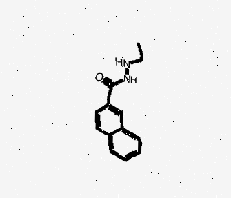 CCNNC(=O)c1ccc2ccccc2c1